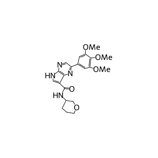 COc1cc(-c2cnc3[nH]cc(C(=O)NC4CCCOC4)c3n2)cc(OC)c1OC